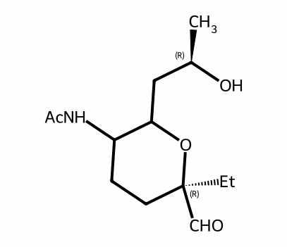 CC[C@]1(C=O)CCC(NC(C)=O)C(C[C@@H](C)O)O1